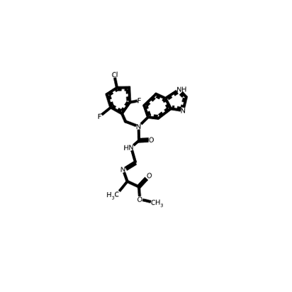 COC(=O)C(C)N=CNC(=O)N(Cc1c(F)cc(Cl)cc1F)c1ccc2[nH]cnc2c1